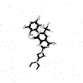 CCN(CC)C1CN(c2nc(O)c3cc(C(F)(F)F)n(-c4c(N)c(Cl)cc(Cl)c4F)c(=O)c3n2)C1